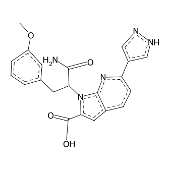 COc1cccc(CC(C(N)=O)n2c(C(=O)O)cc3ccc(-c4cn[nH]c4)nc32)c1